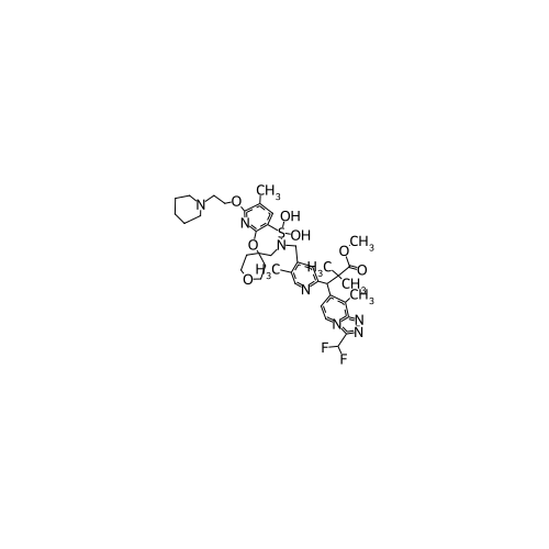 COC(=O)C(C)(C)C(c1cc(CN2CC3(CCOCC3)Oc3nc(OCCN4CCCCC4)c(C)cc3S2(O)O)c(C)cn1)c1ccn2c(C(F)F)nnc2c1C